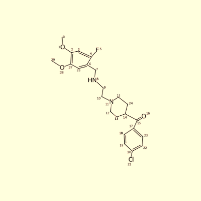 COc1cc(F)c(CNCCN2CCC(C(=O)c3ccc(Cl)cc3)CC2)cc1OC